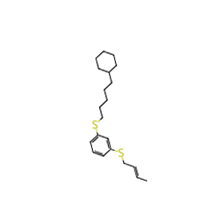 C/C=C/CSc1cccc(SCCCCCC2CCCCC2)c1